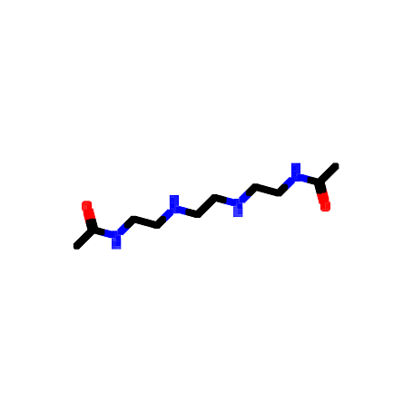 CC(=O)NCCNCCNCCNC(C)=O